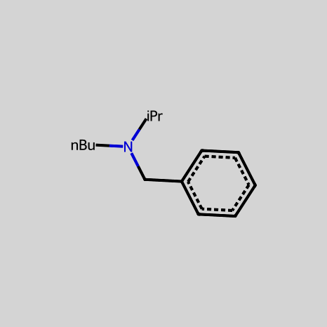 CCCCN(Cc1ccccc1)C(C)C